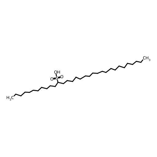 CCCCCCCCCCCCCCCCCCCCC(CCCCCCCCCCC)S(=O)(=O)O